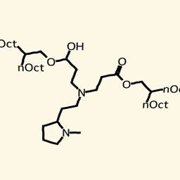 CCCCCCCCC(CCCCCCCC)COC(=O)CCN(CCC(O)OCC(CCCCCCCC)CCCCCCCC)CCC1CCCN1C